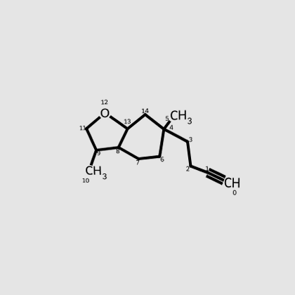 C#CCCC1(C)CCC2C(C)COC2C1